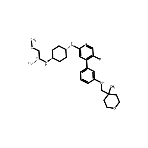 COC[C@@H](C)N[C@H]1CC[C@H](Nc2cc(-c3cccc(NCC4(C)CCOCC4)c3)c(F)cn2)CC1